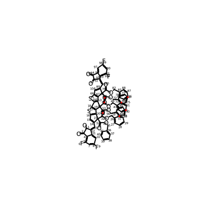 O=C1C(=O)c2c(F)cc(F)cc2/C1=C/C1=Cc2sc3c(c2C1(C(=O)OCc1ccccc1)C(=O)OCc1ccccc1)C(C(=O)OCc1ccccc1)(C(=O)OCc1ccccc1)c1c-3sc2c1C(C(=O)OCc1ccccc1)(C(=O)OCc1ccccc1)C(/C=C1\C(=O)C(=O)c3cc(F)cc(F)c31)=C2